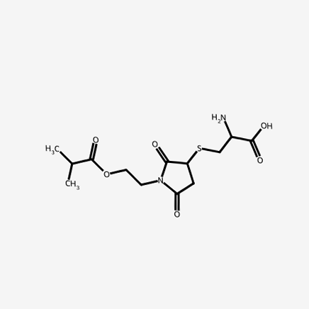 CC(C)C(=O)OCCN1C(=O)CC(SCC(N)C(=O)O)C1=O